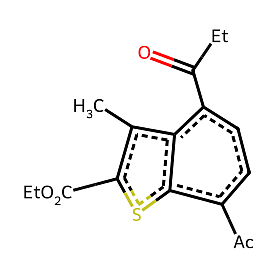 CCOC(=O)c1sc2c(C(C)=O)ccc(C(=O)CC)c2c1C